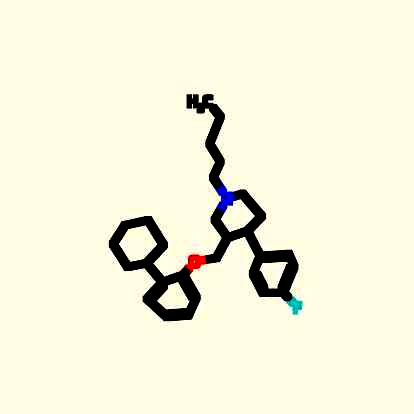 CCCCCN1CCC(c2ccc(F)cc2)C(COc2ccccc2C2CCCCC2)C1